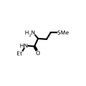 [CH2]CNC(=O)C(N)CCSC